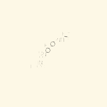 CC(=O)NC[C@H]1CN(c2ccc(-c3ccc(CNCCC(F)=C(F)F)cc3)c(F)c2)C(=O)O1